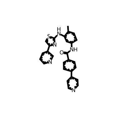 Cc1ccc(NC(=O)c2ccc(-c3ccncc3)cc2)cc1Nc1nc(-c2cccnc2)cs1